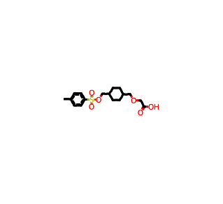 Cc1ccc(S(=O)(=O)OCC2CCC(COCC(=O)O)CC2)cc1